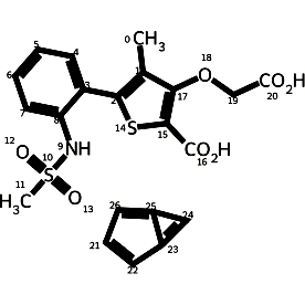 Cc1c(-c2ccccc2NS(C)(=O)=O)sc(C(=O)O)c1OCC(=O)O.c1cc2cc-2c1